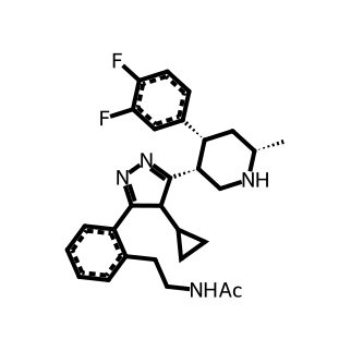 CC(=O)NCCc1ccccc1C1=NN=C([C@H]2CN[C@@H](C)C[C@H]2c2ccc(F)c(F)c2)C1C1CC1